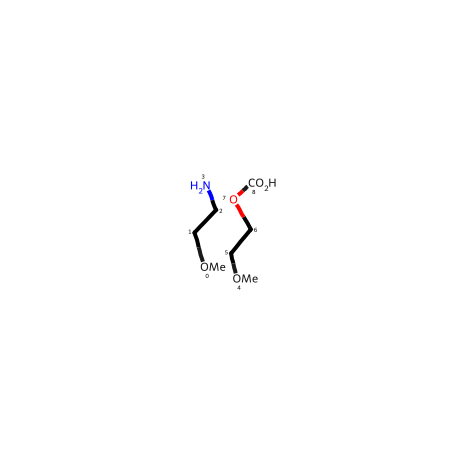 COCCN.COCCOC(=O)O